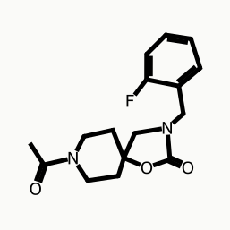 CC(=O)N1CCC2(CC1)CN(Cc1ccccc1F)C(=O)O2